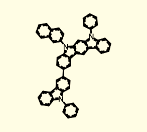 c1ccc(-n2c3ccccc3c3cc(-c4ccc5c(c4)c4cc6c7ccccc7n(-c7ccccc7)c6cc4n5-c4ccc5ccccc5c4)ccc32)cc1